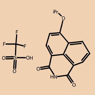 CC(C)Oc1ccc2c3c(cccc13)C(=O)NC2=O.O=S(=O)(O)C(F)(F)F